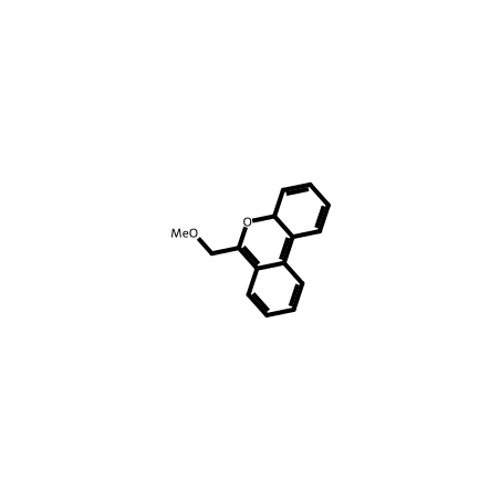 COCC1=c2ccccc2=C2C=CC=CC2O1